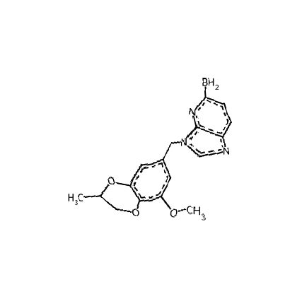 Bc1ccc2ncn(Cc3cc(OC)c4c(c3)OC(C)CO4)c2n1